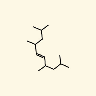 CC(C)CC(C)C=CC(C)CC(C)C